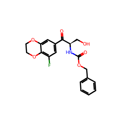 O=C(N[C@H](CO)C(=O)c1cc(F)c2c(c1)OCCO2)OCc1ccccc1